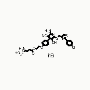 Cl.Cl.N#Cc1c(N)nc(SCc2csc(-c3ccc(Cl)cc3)n2)c(C#N)c1-c1ccc(OCCOC(=O)CC[C@H](N)C(=O)O)cc1